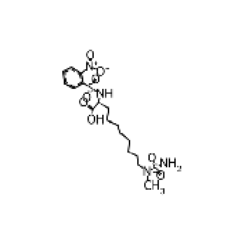 CN(CCCCCCCC[C@H](NS(=O)(=O)c1ccccc1[N+](=O)[O-])C(=O)O)S(N)(=O)=O